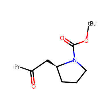 CC(C)C(=O)C[C@@H]1CCCN1C(=O)OC(C)(C)C